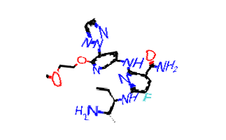 CC[C@@H](Nc1nc(Nc2cnc(OCCOC)c(-n3nccn3)c2)c(C(N)=O)cc1F)[C@H](C)N